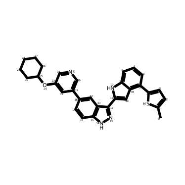 Cc1ccc(-c2cccc3[nH]c(-c4n[nH]c5ccc(-c6cncc(OC7CCCCC7)c6)cc45)cc23)s1